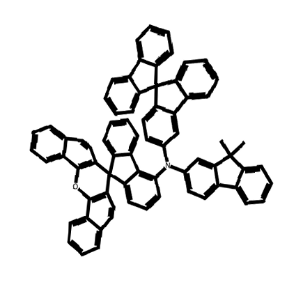 CC1(C)c2ccccc2-c2ccc(N(c3ccc4c(c3)-c3ccccc3C43c4ccccc4-c4ccccc43)c3cccc4c3-c3ccccc3C43c4ccc5ccccc5c4Oc4c3ccc3ccccc43)cc21